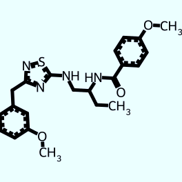 CCC(CNc1nc(Cc2cccc(OC)c2)ns1)NC(=O)c1ccc(OC)cc1